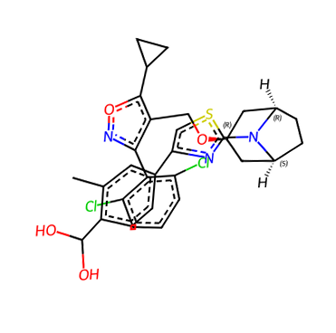 Cc1cc(-c2csc(N3[C@@H]4CC[C@H]3C[C@@H](OCc3c(-c5c(Cl)cccc5Cl)noc3C3CC3)C4)n2)ccc1C(O)O